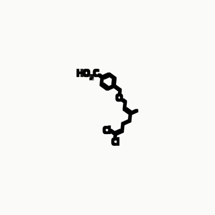 C/C(=C\COCc1ccc(C(=O)O)cc1)CCC=C(Cl)Cl